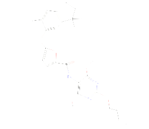 CCCOc1nc(OC)c(NC(=O)c2ccc(Oc3cc4c(cc3C)CCC4(C)C)o2)c(OC)n1